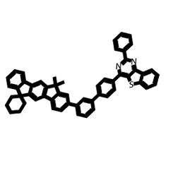 CC1(C)c2cc(-c3cccc(-c4ccc(-c5nc(-c6ccccc6)nc6c5sc5ccccc56)cc4)c3)ccc2-c2cc3c(cc21)-c1ccccc1C31CCCCC1